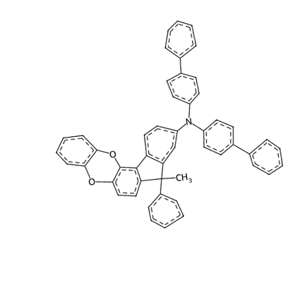 CC1(c2ccccc2)c2cc(N(c3ccc(-c4ccccc4)cc3)c3ccc(-c4ccccc4)cc3)ccc2-c2c1ccc1c2Oc2ccccc2O1